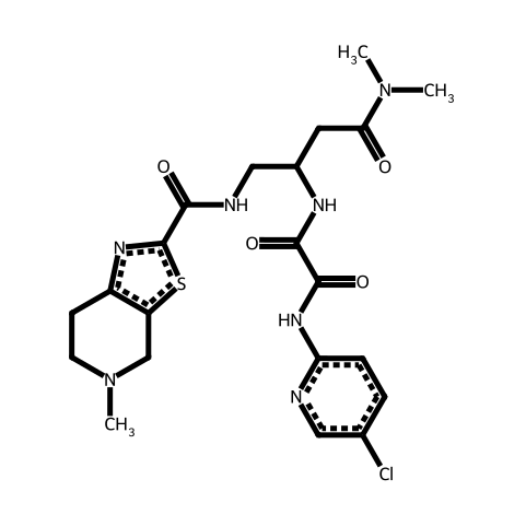 CN1CCc2nc(C(=O)NCC(CC(=O)N(C)C)NC(=O)C(=O)Nc3ccc(Cl)cn3)sc2C1